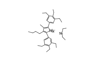 CCCCC1=C(c2cc(CC)c(CC)c(CC)c2)[N+](=[N-])C(c2cc(CC)c(CC)c(CC)c2)=C1C.C[CH2][Ni][CH2]C